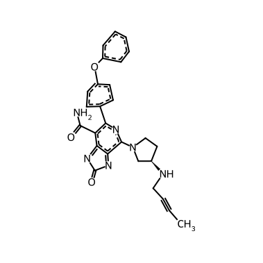 CC#CCN[C@@H]1CCN(c2nc(-c3ccc(Oc4ccccc4)cc3)c(C(N)=O)c3c2=NC(=O)N=3)C1